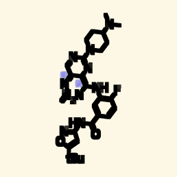 C=C/N=C1/C=NC(N2CCC(N(C)C)CC2)=N/C1=C(/N)Nc1cc(C(=O)Nc2cc(C(C)(C)C)on2)ccc1F